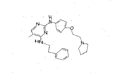 Cc1cnc(Nc2ccc(OCCN3CCCC3)cc2)nc1NCCc1ccccc1